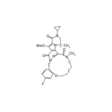 COc1c2n(c3c4nn(c(=O)c13)Cc1ccc(F)cc1OCCCCCN(C)C4=O)[C@@H](C)CN(C1CC1)C2=O